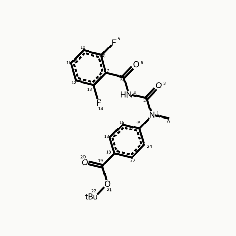 CN(C(=O)NC(=O)c1c(F)cccc1F)c1ccc(C(=O)OC(C)(C)C)cc1